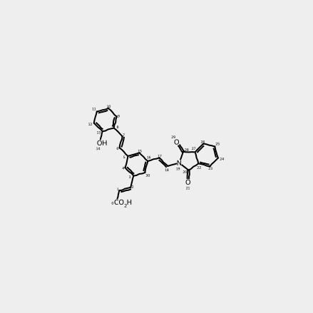 O=C(O)C=Cc1cc(C=Cc2ccccc2O)cc(C=CN2C(=O)c3ccccc3C2=O)c1